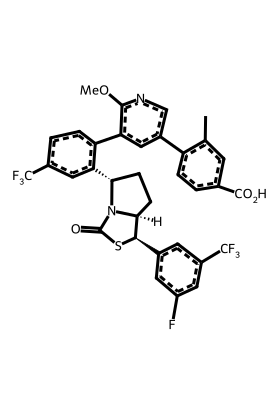 COc1ncc(-c2ccc(C(=O)O)cc2C)cc1-c1ccc(C(F)(F)F)cc1[C@@H]1CC[C@H]2[C@@H](c3cc(F)cc(C(F)(F)F)c3)SC(=O)N12